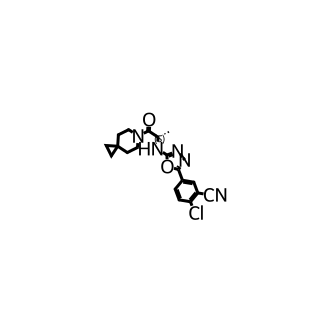 C[C@H](Nc1nnc(-c2ccc(Cl)c(C#N)c2)o1)C(=O)N1CCC2(CC1)CC2